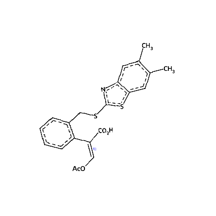 CC(=O)O/C=C(/C(=O)O)c1ccccc1CSc1nc2cc(C)c(C)cc2s1